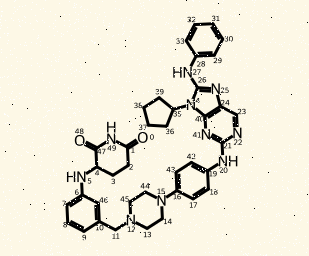 O=C1CCC(Nc2cccc(CN3CCN(c4ccc(Nc5ncc6nc(Nc7ccccc7)n(C7CCCC7)c6n5)cc4)CC3)c2)C(=O)N1